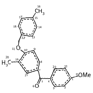 COc1ccc(C(=O)c2ccc(Oc3ccc(C)cc3)c(C)c2)cc1